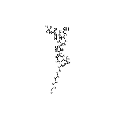 CCCCCCCCCCCc1ccc(-c2noc([C@@H]3CCCN(/C(=N\C(=O)O)NC(=O)OC(C)(C)C)C3)n2)cc1C(F)(F)F